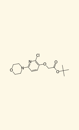 CC(C)(C)OC(=O)COc1ccc(N2CCOCC2)nc1Cl